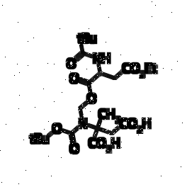 CCOC(=O)CC(NC(=O)C(C)(C)C)C(=O)OCN(C(=O)OC(C)(C)C)C(C)(CC(=O)O)C(=O)O